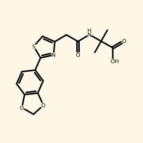 CC(C)(NC(=O)Cc1csc(-c2ccc3c(c2)OCO3)n1)C(=O)O